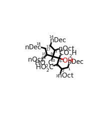 CCCCCCCCCCCC(CCCCCCCC)C(C(=O)O)C(O)(C(=O)O)C(C(=O)O)(C(CCCCCCCC)CCCCCCCCCCC)C(CCCCCCCC)CCCCCCCCCCC